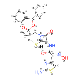 C=CC1(C(=O)OC(c2ccccc2)c2ccccc2)CS[C@@H]2C(NC(=O)C(=NO)c3csc(N)n3)C(=O)N2C1